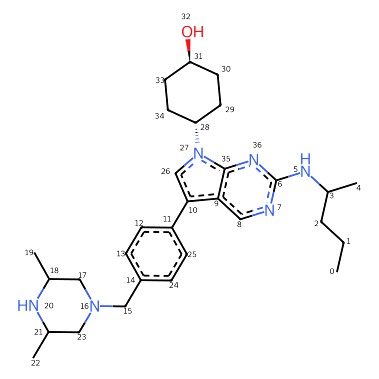 CCCC(C)Nc1ncc2c(-c3ccc(CN4CC(C)NC(C)C4)cc3)cn([C@H]3CC[C@H](O)CC3)c2n1